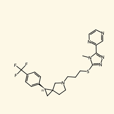 Cn1c(SCCCN2CCC3(C[C@H]3c3ccc(C(F)(F)F)cc3)C2)nnc1-c1cnccn1